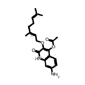 CC(=O)Oc1c(OC/C=C(\C)CCC=C(C)C)c(=O)[nH]c2cc(N)ccc12